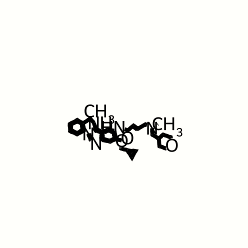 C[C@@H](Nc1ncnc2cc(OCC3CC3)c(NC(=O)C=CCN(C)CC3CCOCC3)cc12)c1ccccc1